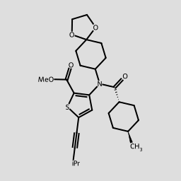 COC(=O)c1sc(C#CC(C)C)cc1N(C(=O)[C@H]1CC[C@H](C)CC1)C1CCC2(CC1)OCCO2